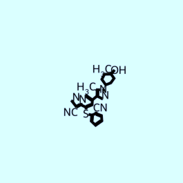 Cc1c(-c2cc(Sc3ccccc3C#N)c3c(C#N)cnn3c2)cnn1[C@H]1CC[C@](C)(O)CC1